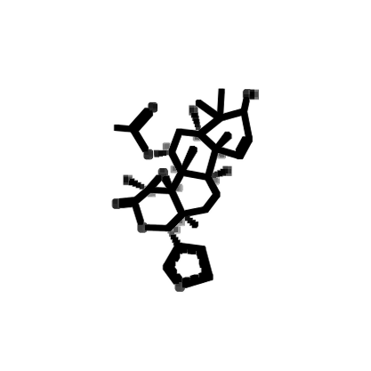 CC(=O)O[C@@H]1C[C@H]2C(C)(C)C(O)C=C[C@]2(C)[C@H]2CC[C@@]3(C)[C@H](c4ccoc4)OC(=O)[C@H]4O[C@]43[C@@]21C